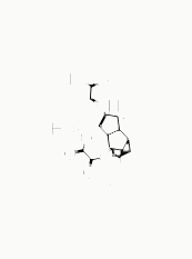 C1=CC2C3C=CC(C3)C2C1.C=C(C)C(=O)OC.C=CC(=O)O